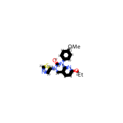 CCOc1ccc2c(n1)N(c1ccc(OC)cc1)C(=O)N(c1cncs1)C2